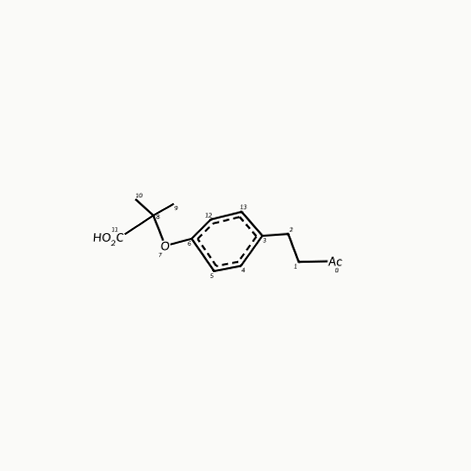 CC(=O)CCc1ccc(OC(C)(C)C(=O)O)cc1